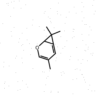 CC1=COC2C(=C1)C2(C)C